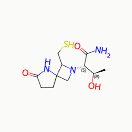 C[C@@H](O)[C@@H](C(N)=O)N1CC2(CCC(=O)N2)C1CS